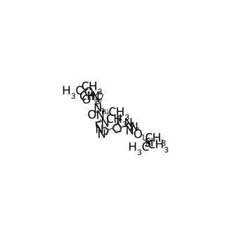 CC(C)[C@H]1CN(C[C@H]2CCCN2C(=O)OC(C)(C)C)C(=O)N1c1ccn2ncc(-c3ccc(-c4ncn(COCC[Si](C)(C)C)n4)c(F)c3)c2n1